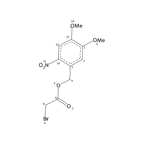 COc1cc(COC(=O)CBr)c([N+](=O)[O-])cc1OC